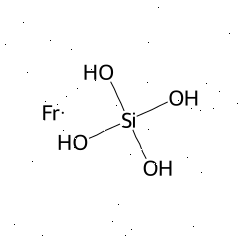 O[Si](O)(O)O.[Fr]